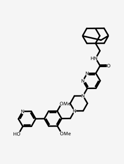 COc1cc(-c2cncc(O)c2)cc(OC)c1CN1CCN(c2ccc(C(=O)NCC34CC5CC(CC(C5)C3)C4)nn2)CC1